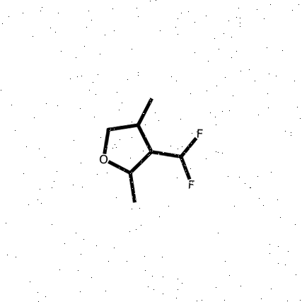 CC1COC(C)C1C(F)F